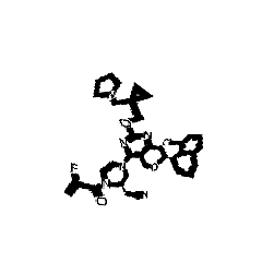 C=C(F)C(=O)N1CCN(c2nc(OCC3(CN4CCCC4)CC3)nc3c2CO[C@@H](c2cccc4cccc(Cl)c24)C3)C[C@@H]1CC#N